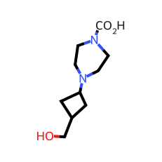 O=C(O)N1CCN(C2CC(CO)C2)CC1